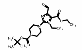 CCOC(=O)c1c(C=O)nc(N2CCN(C(=O)OC(C)(C)C)CC2)n1CC